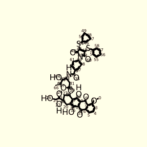 COc1cccc2c1C(=O)c1c(O)c3c(c(O)c1C2=O)C[C@@](O)(C(=O)CO)C[C@@H]3O[C@H]1C[C@H](NC(=O)c2ccc(N3C(=O)C(Sc4ccccc4)=C(Sc4ccccc4)C3=O)cc2)[C@H](O)[C@H](C)O1